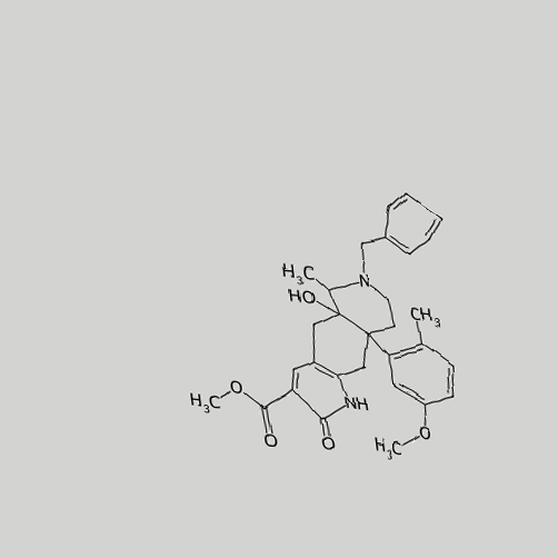 COC(=O)c1cc2c([nH]c1=O)CC1(c3cc(OC)ccc3C)CCN(Cc3ccccc3)C(C)C1(O)C2